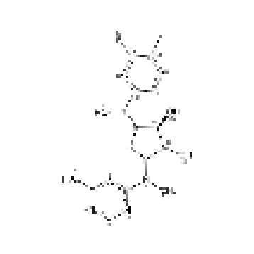 Cc1cc(N(C)C2CC(C(O)c3ccc(F)c(F)c3)[C@@H](O)C2O)ncn1